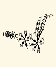 N#[C][Co-3]([C]#N)([C]#N)([C]#N)([C]#N)[C]#N.N#[C][Co-3]([C]#N)([C]#N)([C]#N)([C]#N)[C]#N.O.O.O.O.O.O.O.O.O.O.O.O.[Zn+2].[Zn+2].[Zn+2]